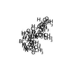 CC(C)C1=C2[C@H]3CC[C@@H]4[C@@]5(C)CC[C@H](OC(=O)CC(C)(C)C(=O)O)C(C)(C)[C@@H]5CC[C@@]4(C)[C@]3(C)CC[C@@]2(Cc2nnc(-c3ccc(Cl)c(CC(C)(CC(=O)O[C@H]4CC[C@]5(C)[C@H]6CC[C@@H]7C8=C(C(C)C)C(=O)C[C@]8(Cc8nnc(-c9ccc(Br)cn9)o8)CC[C@@]7(C)[C@]6(C)CC[C@H]5C4(C)C)C(=O)O)n3)o2)CC1